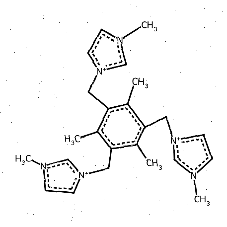 Cc1c(C[n+]2ccn(C)c2)c(C)c(C[n+]2ccn(C)c2)c(C)c1C[n+]1ccn(C)c1